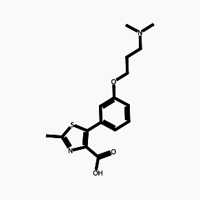 Cc1nc(C(=O)O)c(-c2cccc(OCCCN(C)C)c2)s1